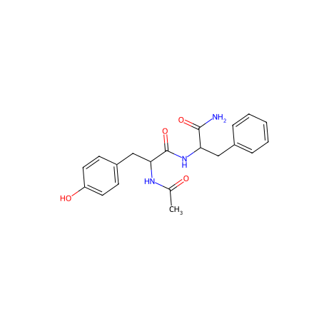 CC(=O)NC(Cc1ccc(O)cc1)C(=O)NC(Cc1ccccc1)C(N)=O